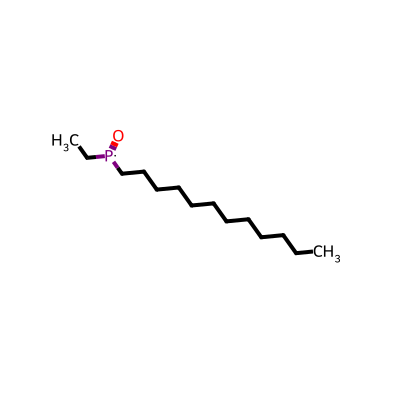 CCCCCCCCCCCC[P](=O)CC